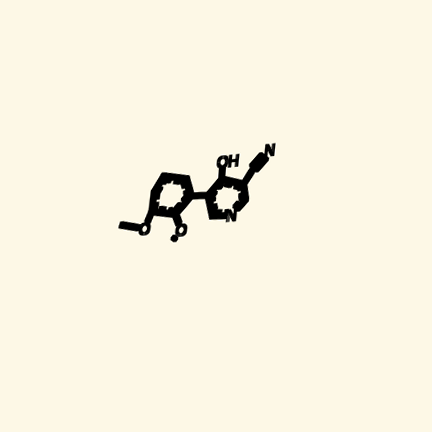 COc1cccc(-c2cncc(C#N)c2O)c1OC